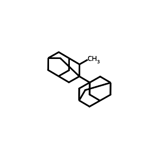 CC1C2CC3CC(C2)CC1(C12CC4CC(CC(C4)C1)C2)C3